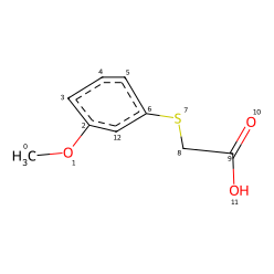 COc1cccc(SCC(=O)O)c1